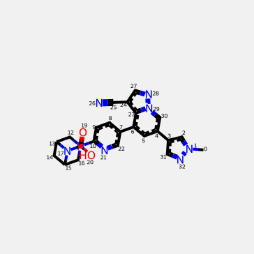 Cn1cc(-c2cc(-c3ccc(N4CC5CC(C4)N5C(=O)O)nc3)c3c(C#N)cnn3c2)cn1